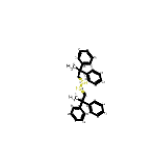 CC(C=[SH][SH]=CC(C)(c1ccccc1)c1ccccc1)(c1ccccc1)c1ccccc1